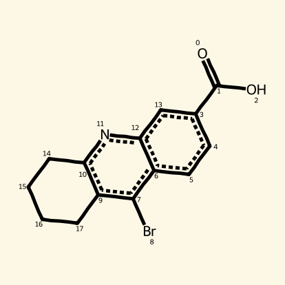 O=C(O)c1ccc2c(Br)c3c(nc2c1)CCCC3